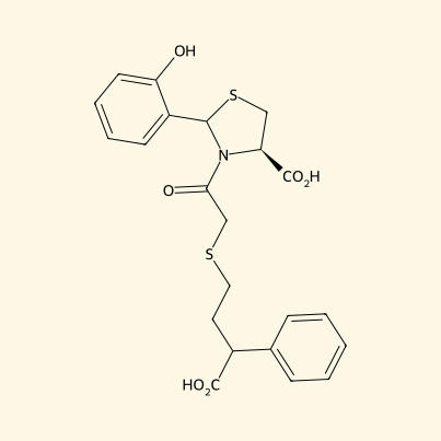 O=C(O)C(CCSCC(=O)N1C(c2ccccc2O)SC[C@H]1C(=O)O)c1ccccc1